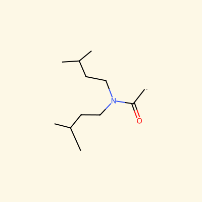 [CH2]C(=O)N(CCC(C)C)CCC(C)C